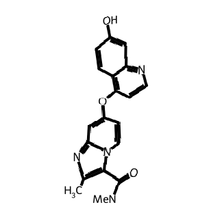 CNC(=O)c1c(C)nc2cc(Oc3ccnc4cc(O)ccc34)ccn12